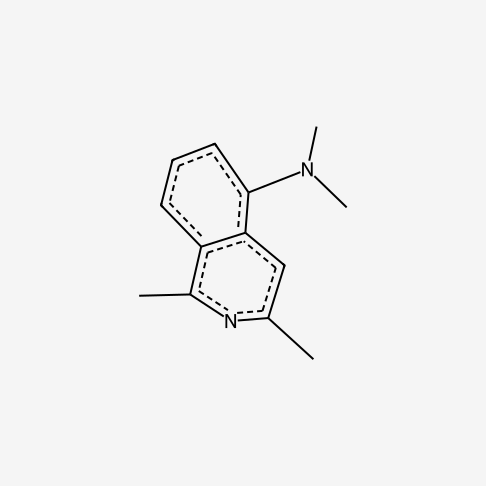 Cc1cc2c(N(C)C)cccc2c(C)n1